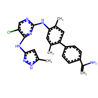 C=C(N)c1ccc(-c2cc(C)c(Nc3ncc(Cl)c(Nc4cc(C)[nH]n4)n3)cc2C)cc1